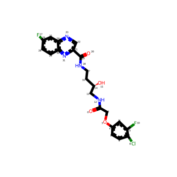 O=C(COc1ccc(Cl)c(F)c1)NC[C@@H](O)CCNC(=O)c1cnc2cc(F)ccc2n1